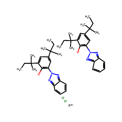 CCC(C)(C)c1cc(-n2nc3ccccc3n2)c([O-])c(C(C)(C)CC)c1.CCC(C)(C)c1cc(-n2nc3ccccc3n2)c([O-])c(C(C)(C)CC)c1.[Cl-].[Cl-].[Zr+4]